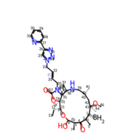 B[C@@H]1[C@@H](C)C(=O)[C@@H](C)C(O)O[C@H](CC)[C@@]2(C)OC(=O)N(C/C=C/Cn3cc(-c4ccccn4)nn3)[C@@H]2[C@@H](C)NC[C@H](C)C[C@@]1(C)OC